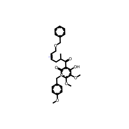 COc1ccc(Cn2c(OC)c(OC)c(O)c(C(=O)C(C)C/C=C\COCc3ccccc3)c2=O)cc1